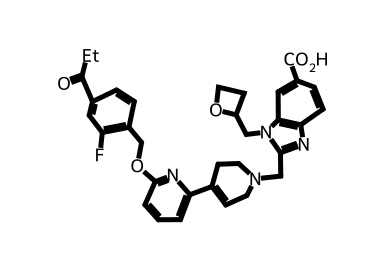 CCC(=O)c1ccc(COc2cccc(C3=CCN(Cc4nc5ccc(C(=O)O)cc5n4CC4CCO4)CC3)n2)c(F)c1